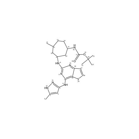 Cc1cc(Nc2nc(NC3CC(C)CCC(NC(=O)OC(C)(C)C)C3)nc3ccsc23)n[nH]1